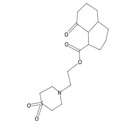 O=C(OCCN1CCS(=O)(=O)CC1)C1CCCC2CCCC(=O)C21